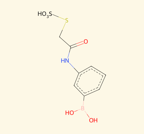 O=C(CSS(=O)(=O)O)Nc1cccc(B(O)O)c1